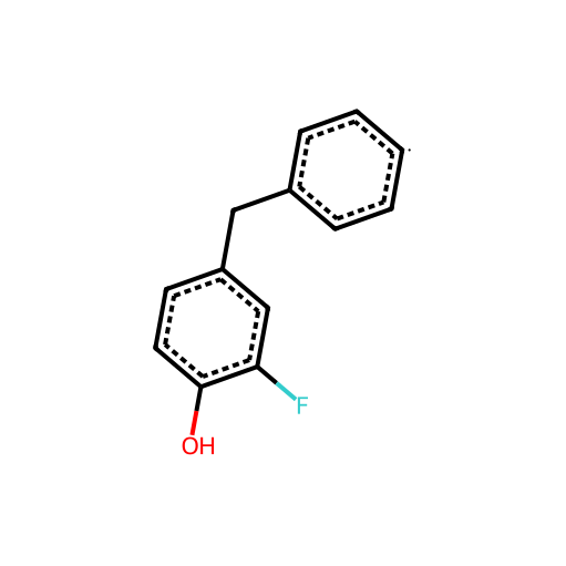 Oc1ccc(Cc2cc[c]cc2)cc1F